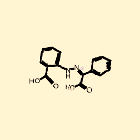 O=C(O)/C(=N\Nc1ccccc1C(=O)O)c1ccccc1